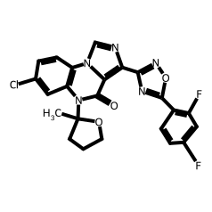 CC1(n2c(=O)c3c(-c4noc(-c5ccc(F)cc5F)n4)ncn3c3ccc(Cl)cc32)CCCO1